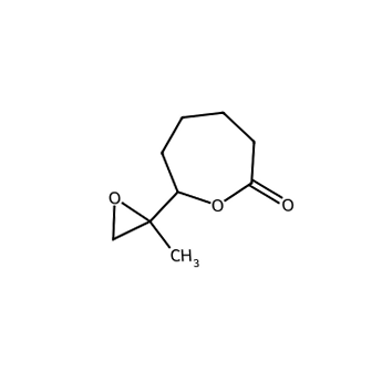 CC1(C2CCCCC(=O)O2)CO1